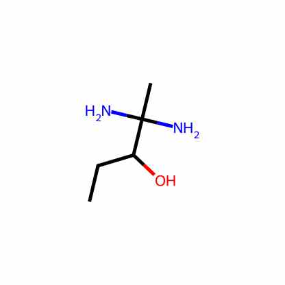 CCC(O)C(C)(N)N